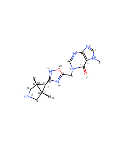 Cn1cnc2ncn(Cc3nc([C@H]4[C@@H]5CNC[C@@]54C)no3)c(=O)c21